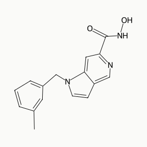 Cc1cccc(Cn2ccc3cnc(C(=O)NO)cc32)c1